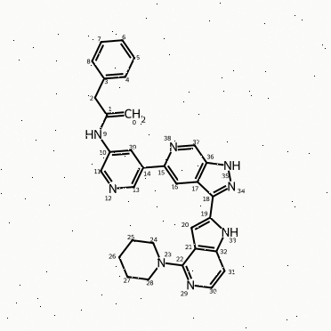 C=C(Cc1ccccc1)Nc1cncc(-c2cc3c(-c4cc5c(N6CCCCC6)nccc5[nH]4)n[nH]c3cn2)c1